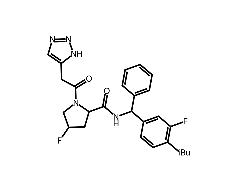 CCC(C)c1ccc(C(NC(=O)C2CC(F)CN2C(=O)Cc2cnn[nH]2)c2ccccc2)cc1F